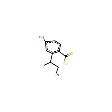 CC(CC#N)c1cc(O)ccc1C(=S)S